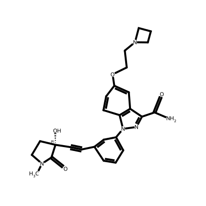 CN1CC[C@@](O)(C#Cc2cccc(-n3nc(C(N)=O)c4cc(OCCN5CCC5)ccc43)c2)C1=O